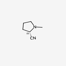 CN1CCC[C@H]1C#N